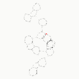 c1ccc(-c2nc(-c3cccc(-n4c5ccccc5c5ccccc54)c3)nc(-c3cccc4oc5ccc(-c6c(-c7ccc8c(c7)sc7ccccc78)ccc7sc8ccccc8c67)cc5c34)n2)cc1